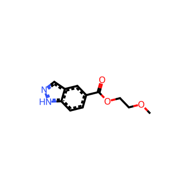 COCCOC(=O)c1ccc2[nH]ncc2c1